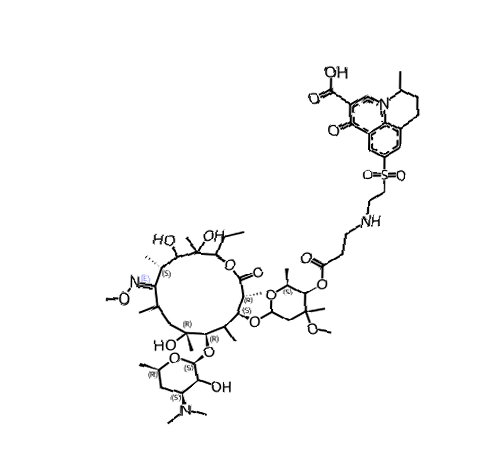 CCC1OC(=O)[C@H](C)[C@@H](OC2CC(C)(OC)C(OC(=O)CCNCCS(=O)(=O)c3cc4c5c(c3)c(=O)c(C(=O)O)cn5C(C)CC4)[C@H](C)O2)C(C)[C@@H](O[C@@H]2O[C@H](C)C[C@H](N(C)C)C2O)[C@](C)(O)CC(C)/C(=N\OC)[C@H](C)C(O)C1(C)O